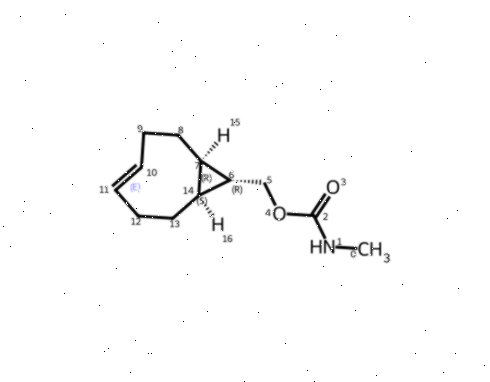 CNC(=O)OC[C@H]1[C@@H]2CC/C=C/CC[C@@H]21